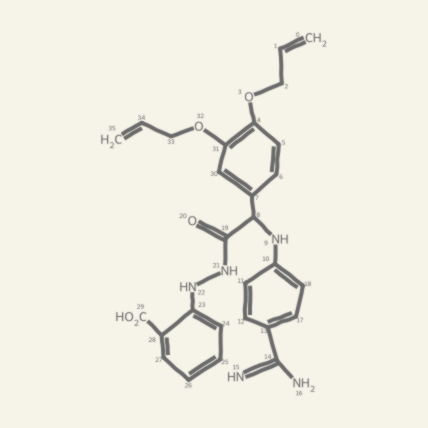 C=CCOc1ccc(C(Nc2ccc(C(=N)N)cc2)C(=O)NNc2ccccc2C(=O)O)cc1OCC=C